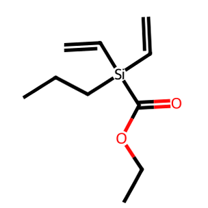 C=C[Si](C=C)(CCC)C(=O)OCC